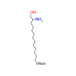 CCCCCCCCCCCCCCCCCCCCC(N)CO